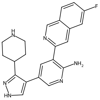 Nc1ncc(-c2c[nH]nc2C2CCNCC2)cc1-c1cc2cc(F)ccc2cn1